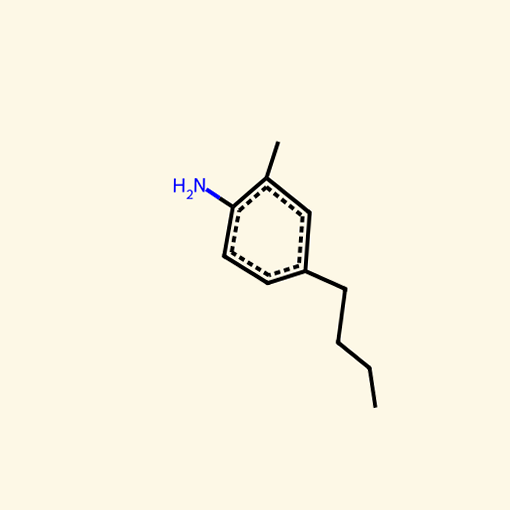 CCCCc1ccc(N)c(C)c1